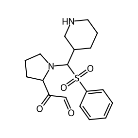 O=CC(=O)C1CCCN1C(C1CCCNC1)S(=O)(=O)c1ccccc1